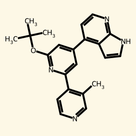 Cc1cnccc1-c1cc(-c2ccnc3[nH]ccc23)cc(OC(C)(C)C)n1